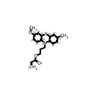 C=CC(=O)OCCCN1c2ccc(C)cc2Sc2cc(OC)ccc21